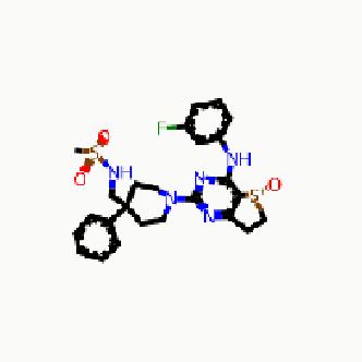 CS(=O)(=O)NCC1(c2ccccc2)CCN(c2nc3c(c(Nc4cccc(F)c4)n2)[S+]([O-])CC3)CC1